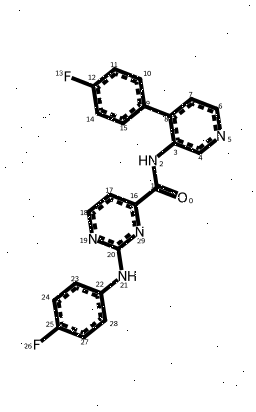 O=C(Nc1cnccc1-c1ccc(F)cc1)c1ccnc(Nc2ccc(F)cc2)n1